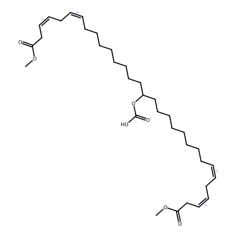 COC(=O)C/C=C\C/C=C\CCCCCCCCC(CCCCCCCC/C=C\C/C=C\CC(=O)OC)OC(=O)O